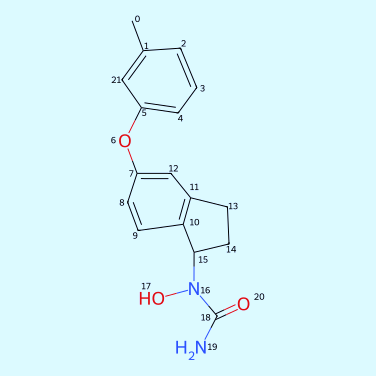 Cc1cccc(Oc2ccc3c(c2)CCC3N(O)C(N)=O)c1